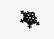 CC(C)(C)c1cc(C(C)(C)C)c(-c2c(-c3c(C(C)(C)C)cc(C(C)(C)C)cc3C(C)(C)C)c(-c3c(C(C)(C)C)cc(C(C)(C)C)cc3C(C)(C)C)c3c(c2-c2c(C(C)(C)C)cc(C(C)(C)C)cc2C(C)(C)C)=c2ccccc2=3)c(C(C)(C)C)c1